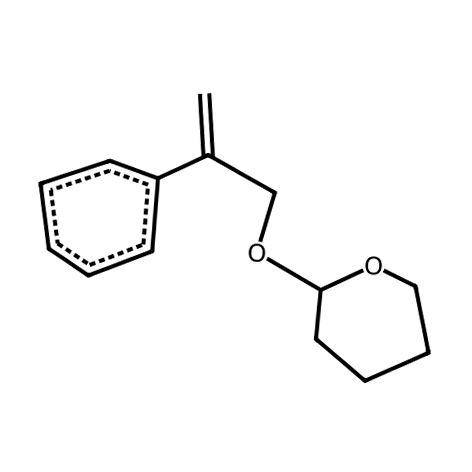 C=C(COC1CCCCO1)c1ccccc1